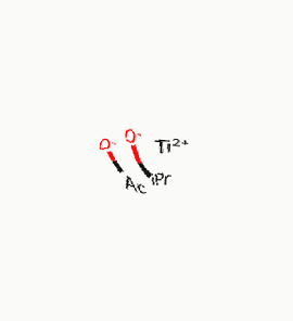 CC(=O)[O-].CC(C)[O-].[Ti+2]